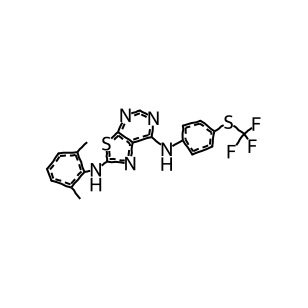 Cc1cccc(C)c1Nc1nc2c(Nc3ccc(SC(F)(F)F)cc3)ncnc2s1